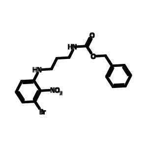 O=C(NCCCNc1cccc(Br)c1[N+](=O)[O-])OCc1ccccc1